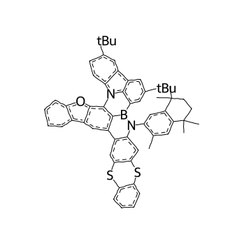 Cc1cc2c(cc1N1B3c4c(cc5c(oc6ccccc65)c4-n4c5ccc(C(C)(C)C)cc5c5cc(C(C)(C)C)cc3c54)-c3cc4c(cc31)Sc1ccccc1S4)C(C)(C)CCC2(C)C